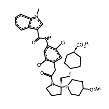 COC1CCN([C@]2(CC[C@H]3CC[C@H](C(=O)O)CC3)CCCN2C(=O)Cc2cc(Cl)c(NC(=O)c3cn(C)c4ccccc34)cc2Cl)CC1